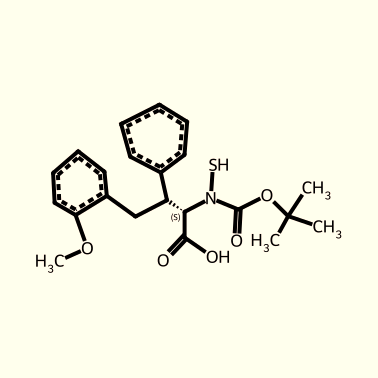 COc1ccccc1CC(c1ccccc1)[C@@H](C(=O)O)N(S)C(=O)OC(C)(C)C